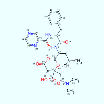 CC(C)C[C@H](NC(=O)C(Cc1ccccc1)NC(=O)c1cnccn1)B1OC(=O)CC(CC(=O)N(C)C)(C(=O)O)O1